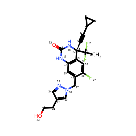 CC(F)(F)[C@@]1(C#CC2CC2)NC(=O)Nc2cc(Cn3cc(CCO)cn3)c(F)cc21